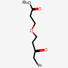 CC(C)COC(=O)CCOCCC(=O)CC(C)C